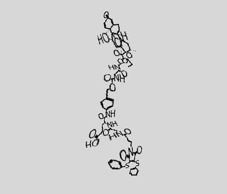 CCC(=O)O[C@]1(C(=O)COCNC(=O)CNC(=O)OCc2ccc(NC(=O)[C@H](CCC(=O)O)NC(=O)CNC(=O)CCN3C(=O)C(Sc4ccccc4)=C(Sc4ccccc4)C3=O)cc2)[C@@H](C)CC2[C@@H]3CCC4=CC(=O)C=C[C@]4(C)[C@@]3(Cl)[C@@H](O)C[C@@]21C